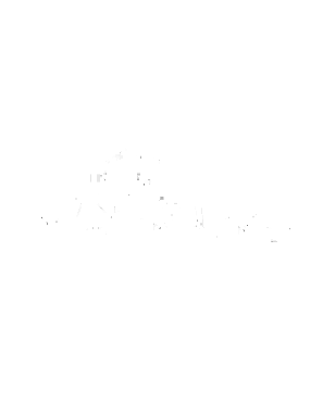 CCCCCCCCCc1ccc(OC2(CCNCCNCCNCC(C)O)CNC#CC(C)=[N+]2CC(=O)[O-])cc1